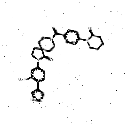 COc1cc(N2CCC3(CCN(C(=O)c4ccc(N5CCCCC5=O)cc4)CC3)C2=O)ccc1-c1cn[nH]c1